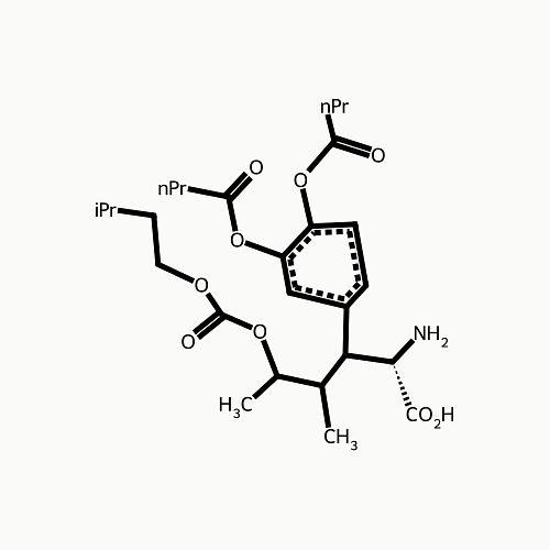 CCCC(=O)Oc1ccc(C(C(C)C(C)OC(=O)OCCC(C)C)[C@H](N)C(=O)O)cc1OC(=O)CCC